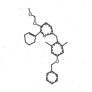 COCOc1ccc(Cc2c(C)cc(OCc3ccccc3)cc2C)nc1C1=CCCCC1